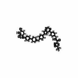 CC(C)(C)c1nc(C(=O)NCc2ccc(-c3ncnn4cc(-c5ccc(CN6CCC(c7ccc(NC8CCC(=O)NC8=O)cc7)CC6)cc5)cc34)cc2)no1